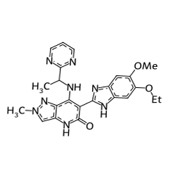 CCOc1cc2[nH]c(-c3c(NC(C)c4ncccn4)c4nn(C)cc4[nH]c3=O)nc2cc1OC